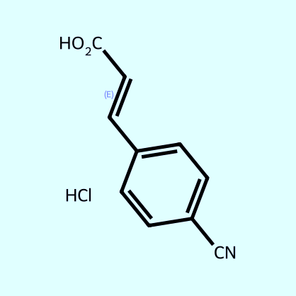 Cl.N#Cc1ccc(/C=C/C(=O)O)cc1